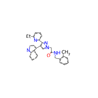 CCc1cccc(-c2nn(CC(=O)NCc3ccccc3C)cc2-c2ccnc3ccccc23)n1